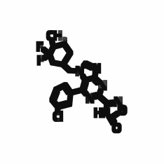 CC1CCC(Cn2cnc3nc(-c4noc(=O)[nH]4)nc(-c4cccc(Cl)c4)c32)CC1(F)F